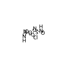 CC(=O)NC(C)c1cc2nccc(-c3cc(Cl)cc4c3O[C@@H](c3onc5c3CNCC5)C4)c2s1